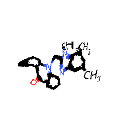 Cc1cc(C)c2c(c1)nc(Cn1c3ccccc3c(=O)c3ccccc31)n2C